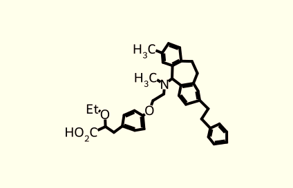 CCOC(Cc1ccc(OCCN(C)C2c3ccc(CCc4ccccc4)cc3CCc3ccc(C)cc32)cc1)C(=O)O